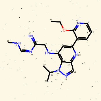 CCOc1ncccc1-c1cc(NCC(=N)/N=C\NC)c2c(cnn2C(C)C)n1